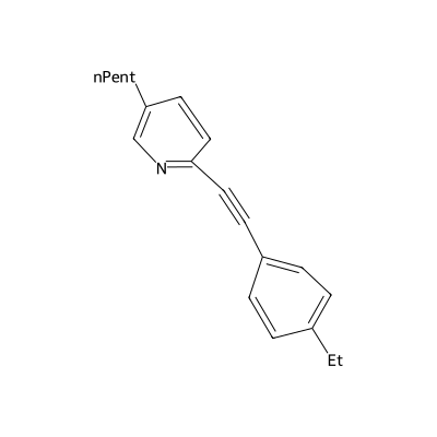 CCCCCc1ccc(C#Cc2ccc(CC)cc2)nc1